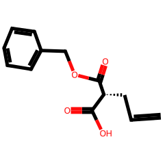 C=CC[C@H](C(=O)O)C(=O)OCc1ccccc1